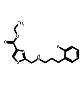 CCOC(=O)c1csc(CNCCCc2ccccc2F)n1